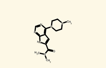 CN1CCN(c2ncnc3[nH]c(C(=O)N(C)C)cc23)CC1